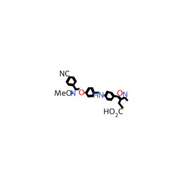 CON=C(COc1ccc(CNc2ccc(-c3onc(C)c3CCC(=O)O)cc2)cc1)c1ccc(C#N)cc1